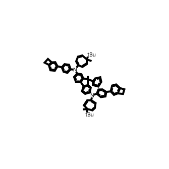 CC1(c2ccccc2)c2cc(N(C3=CC=CC(C)(C(C)(C)C)C=C3)c3ccc(-c4ccc5c(c4)CC5)cc3)ccc2-c2ccc(N(C3=CC=CC(C)(C(C)(C)C)C=C3)c3ccc(-c4ccc5c(c4)CC5)cc3)cc21